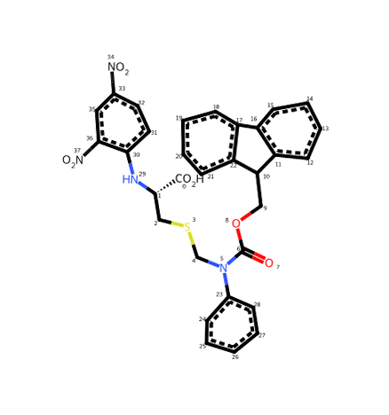 O=C(O)[C@H](CSCN(C(=O)OCC1c2ccccc2-c2ccccc21)c1ccccc1)Nc1ccc([N+](=O)[O-])cc1[N+](=O)[O-]